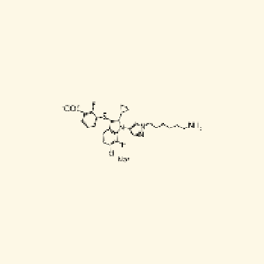 NCCCCCCn1cc(-n2c(C3CC3)c(Sc3cccc(C(=O)[O-])c3F)c3ccc(Cl)c(F)c32)cn1.[Na+]